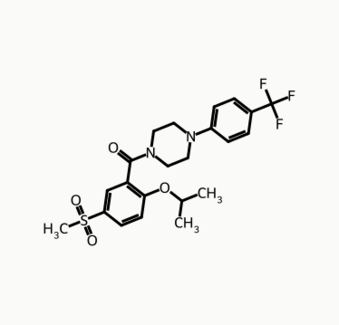 CC(C)Oc1ccc(S(C)(=O)=O)cc1C(=O)N1CCN(c2ccc(C(F)(F)F)cc2)CC1